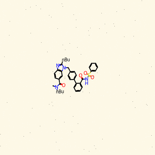 CCCCc1nc2ccc(C(=O)N(C)CCCC)cc2n1Cc1ccc(-c2ccccc2C(=O)NS(=O)(=O)c2ccccc2)cc1